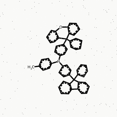 Cc1ccc(N(c2ccc(C3(c4ccccc4)c4ccccc4Oc4ccccc43)cc2)c2ccc(C3(c4ccccc4)c4ccccc4-c4ccccc43)cc2)cc1